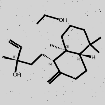 C=C[C@@](C)(O)CC[C@H]1C(=C)CC[C@H]2C(C)(C)CCC[C@]12C.CCO